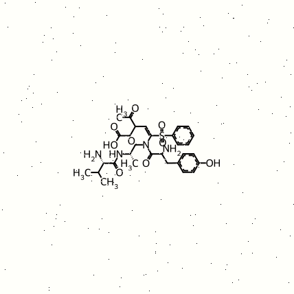 CC(=O)C(/C=C(\N(C(=O)[C@H](C)NC(=O)[C@@H](N)C(C)C)C(=O)[C@@H](N)Cc1ccc(O)cc1)S(=O)(=O)c1ccccc1)CC(=O)O